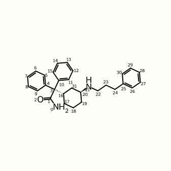 NC(=O)C(c1ccccc1)(c1ccccc1)[C@H]1CCC[C@H](NCCCc2ccccc2)C1